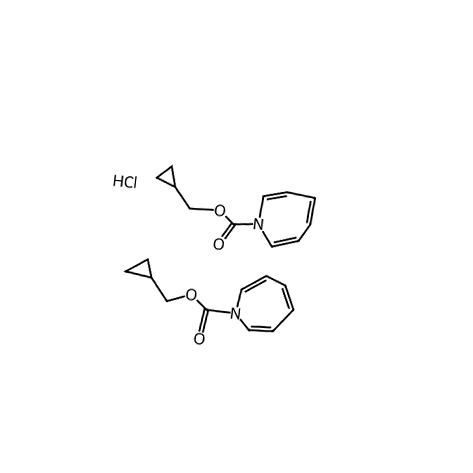 Cl.O=C(OCC1CC1)N1C=CC=CC=C1.O=C(OCC1CC1)N1C=CC=CC=C1